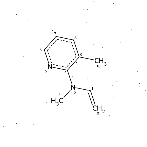 C=CN(C)c1ncccc1C